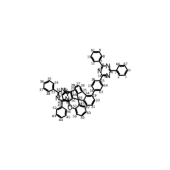 c1ccc(-c2nc(-c3ccccc3)nc(-c3ccc(-c4cccc5c4-c4cccc(-c6nc(-c7ccccc7)nc(-c7ccccc7)n6)c4C54c5ccccc5Oc5ccccc54)cc3)n2)cc1